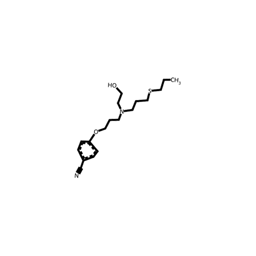 CCCSCCCN(CCO)CCCOc1ccc(C#N)cc1